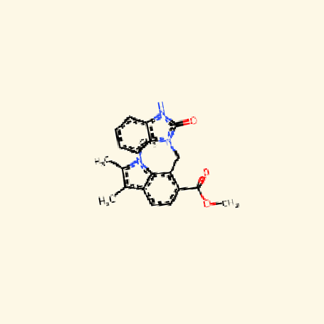 COC(=O)c1ccc2c(C)c(C)n(C)c2c1Cn1c(=O)[nH]c2ccccc21